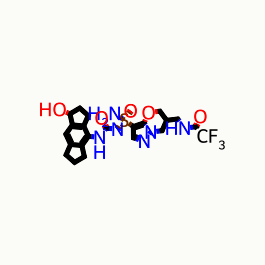 NS(=O)(=NC(=O)Nc1c2c(cc3c1CCC3O)CCC2)c1cnn2c1OCC(CNC(=O)C(F)(F)F)C2